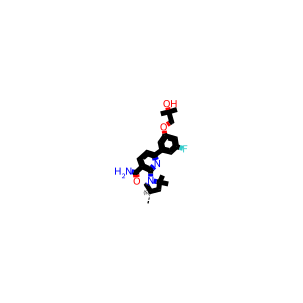 C[C@@H]1CN(c2nc(-c3cc(F)cc(OCC(C)(C)O)c3)ccc2C(N)=O)C(C)(C)C1